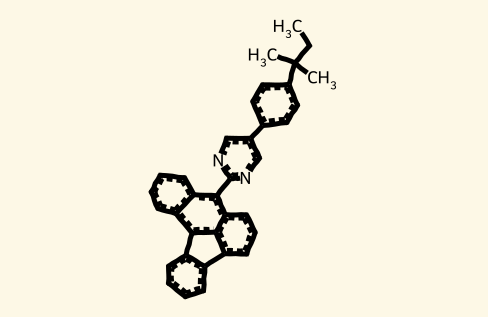 CCC(C)(C)c1ccc(-c2cnc(-c3c4ccccc4c4c5c(cccc35)-c3ccccc3-4)nc2)cc1